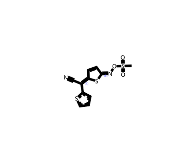 CS(=O)(=O)O/N=C1C=C/C(=C(\C#N)c2cccs2)S\1